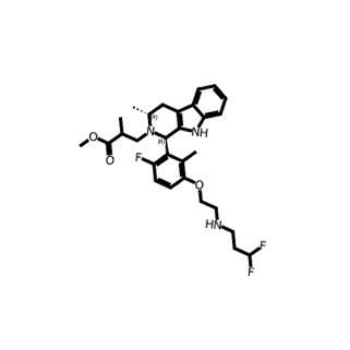 COC(=O)C(C)CN1[C@H](c2c(F)ccc(OCCNCCC(F)F)c2C)c2[nH]c3ccccc3c2C[C@H]1C